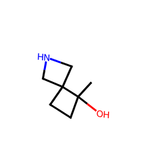 CC1(O)CCC12CNC2